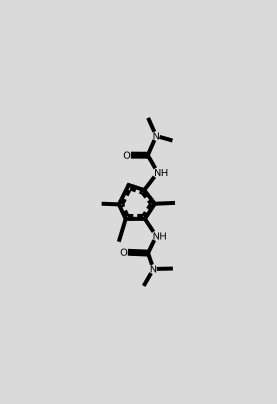 Cc1cc(NC(=O)N(C)C)c(C)c(NC(=O)N(C)C)c1C